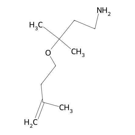 C=C(C)CCOC(C)(C)CCN